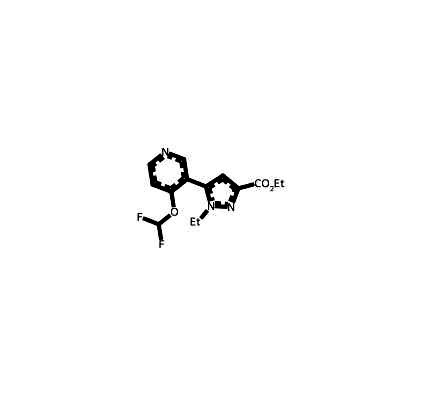 CCOC(=O)c1cc(-c2cnccc2OC(F)F)n(CC)n1